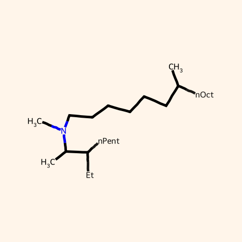 CCCCCCCCC(C)CCCCCCN(C)C(C)C(CC)CCCCC